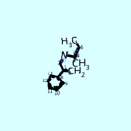 C=C(/C=N\C(C)=C/C)c1ccccc1